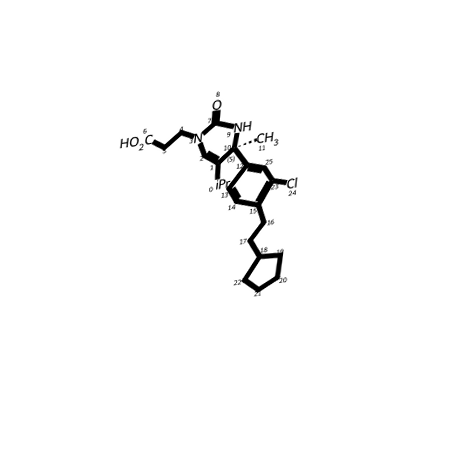 CC(C)C1=CN(CCC(=O)O)C(=O)N[C@@]1(C)c1ccc(CCC2CCCC2)c(Cl)c1